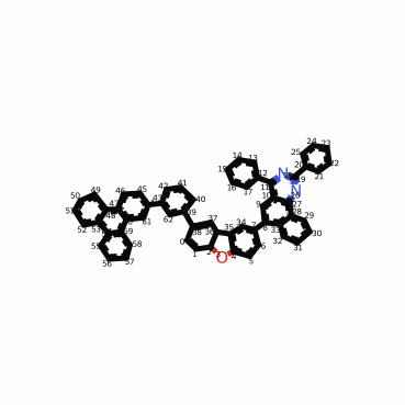 C1=CC2Oc3ccc(-c4cc5c(-c6ccccc6)nc(-c6ccccc6)nc5c5ccccc45)cc3C2C=C1c1cccc(-c2ccc3c4ccccc4c4ccccc4c3c2)c1